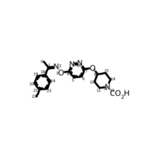 C/C(=N/Oc1ccc(OC2CCN(C(=O)O)CC2)nn1)c1ccc(C)cc1